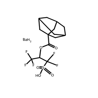 O=C(OC(C(F)(F)F)C(F)(F)S(=O)(=O)O)C12CC3CC(CC(C3)C1)C2.[BaH2]